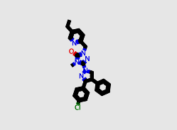 CCc1ccc(Cn2nc(N3CC(c4ccccc4)C(c4ccc(Cl)cc4)=N3)n(C)c2=O)nc1